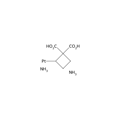 N.N.O=C(O)C1(C(=O)O)CC[CH]1[Pt]